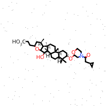 C[C@@H]1CC(CCC(=O)O)OC2C1[C@@]1(C)CCC34C[C@@]35CC[C@H](OC3CN(C(=O)CC6CC6)CCO3)C(C)(C)[C@@H]5CC[C@H]4[C@]1(C)[C@H]2O